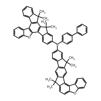 CC1(C)c2cc(N(c3ccc(-c4ccccc4)cc3)c3ccc4c(c3)C(C)(C)c3c5c(c6c(oc7ccccc76)c3-4)-c3ccccc3C5(C)C)ccc2-c2cc3c(cc21)-c1c(ccc2oc4ccccc4c12)C3(C)C